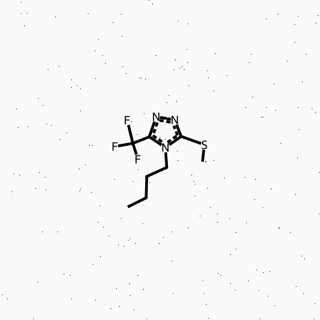 [CH2]Sc1nnc(C(F)(F)F)n1CCCC